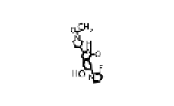 C=CC(=O)N1CCC(c2cc3cc(O)c(-c4ncccc4F)cc3c(=O)[nH]2)C1